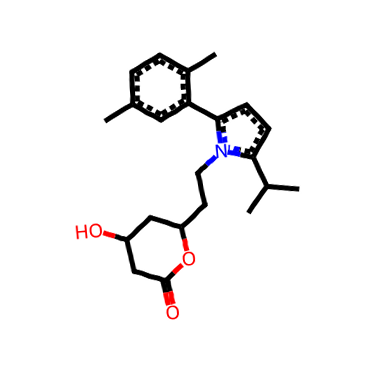 Cc1ccc(C)c(-c2ccc(C(C)C)n2CCC2CC(O)CC(=O)O2)c1